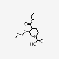 CCOC(=O)C1CCN(C(=O)O)CC1OCOC